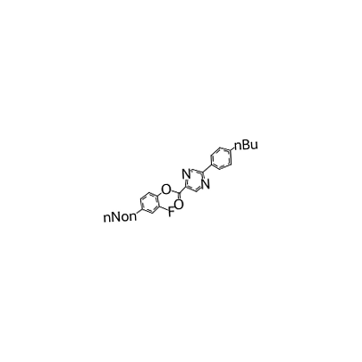 CCCCCCCCCc1ccc(OC(=O)c2cnc(-c3ccc(CCCC)cc3)cn2)c(F)c1